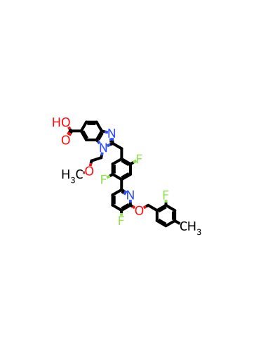 COCCn1c(Cc2cc(F)c(-c3ccc(F)c(OCc4ccc(C)cc4F)n3)cc2F)nc2ccc(C(=O)O)cc21